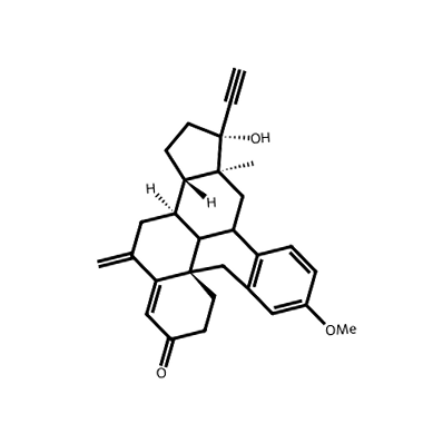 C#C[C@]1(O)CC[C@H]2[C@@H]3CC(=C)C4=CC(=O)CC[C@@]45Cc4cc(OC)ccc4C(C[C@@]21C)C35